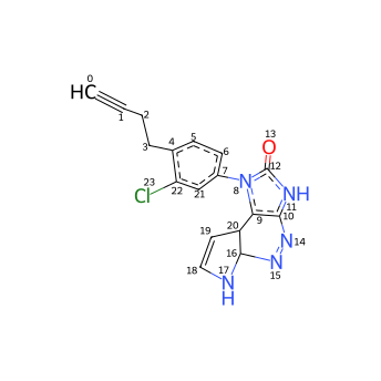 C#CCCc1ccc(-n2c3c([nH]c2=O)N=NC2NC=CC32)cc1Cl